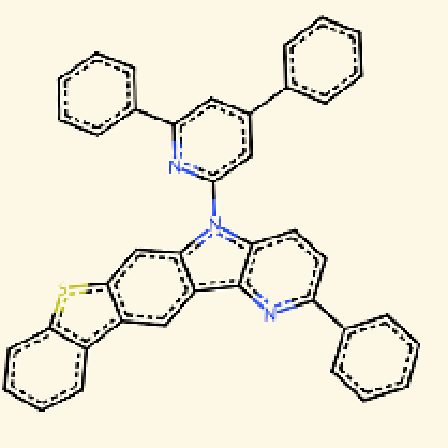 c1ccc(-c2cc(-c3ccccc3)nc(-n3c4cc5sc6ccccc6c5cc4c4nc(-c5ccccc5)ccc43)c2)cc1